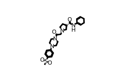 CS(=O)(=O)c1ccc(N2CCN(C(=O)CN3CC[C@H](C(=O)NC4=CCCC=C4)C3)CC2)cc1